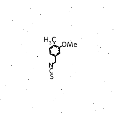 COc1cc(CN=C=S)ccc1C